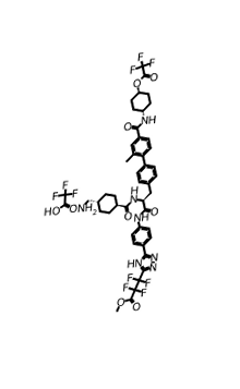 COC(=O)C(F)(F)C(F)(F)c1nnc(-c2ccc(NC(=O)[C@H](Cc3ccc(-c4ccc(C(=O)N[C@H]5CC[C@H](OC(=O)C(F)(F)F)CC5)cc4C)cc3)NC(=O)[C@H]3CC[C@H](CN)CC3)cc2)[nH]1.O=C(O)C(F)(F)F